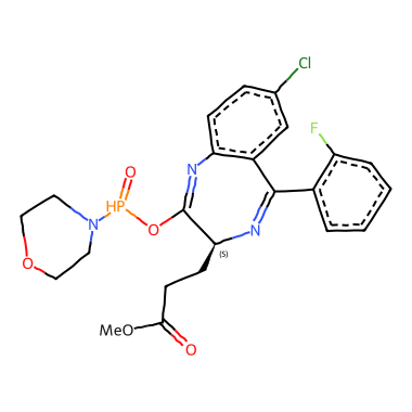 COC(=O)CC[C@@H]1N=C(c2ccccc2F)c2cc(Cl)ccc2N=C1O[PH](=O)N1CCOCC1